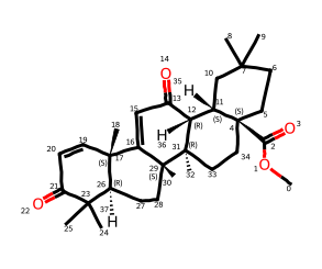 COC(=O)[C@]12CCC(C)(C)C[C@H]1[C@H]1C(=O)C=C3[C@@]4(C)C=CC(=O)C(C)(C)[C@@H]4CC[C@@]3(C)[C@]1(C)CC2